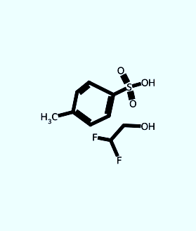 Cc1ccc(S(=O)(=O)O)cc1.OCC(F)F